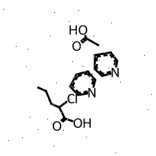 CC(=O)O.CCCC(Cl)C(=O)O.c1ccncc1.c1ccncc1